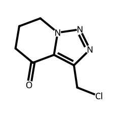 O=C1CCCn2nnc(CCl)c21